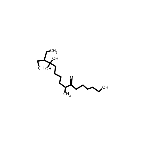 CCC(CC)C(O)(O)CCCCC(C)C(=O)CCCCCO